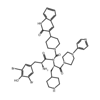 N[C@@H](Cc1cc(Br)c(O)c(Br)c1)C(=O)N(C(=O)N1CCC(c2cc3ccccc3[nH]c2=O)CC1)[C@H](CC1CCNCC1)C(=O)N1CCN(c2ccncc2)CC1